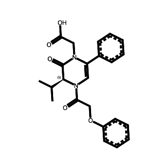 CC(C)[C@H]1C(=O)N(CC(=O)O)C(c2ccccc2)=CN1C(=O)COc1ccccc1